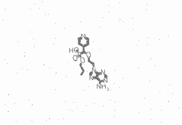 CCCOP(=O)(O)C(OCCn1cnc2c(N)ncnc21)c1ccncc1